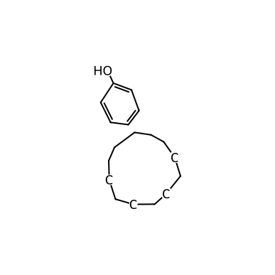 C1CCCCCCCCCCC1.Oc1ccccc1